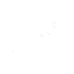 O=C1CCN(N2C(=O)c3ccc(CCBr)cc3C2=O)C(=O)N1